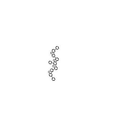 C1=C(c2cccc3c2oc2c(-c4ccccc4)c4oc5c(-c6ccc7oc8ccc(-c9ccccc9)cc8c7c6)cccc5c4cc23)C=C2c3cc(-c4ccccc4)ccc3OC2C1